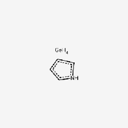 [GeH4].c1cc[nH]c1